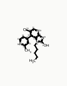 CCCCCn1c(O)nc2ncc(Cl)c(-c3ccnc(C)c3)c21